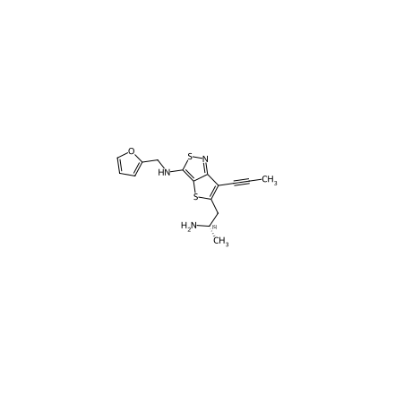 CC#Cc1c(C[C@H](C)N)sc2c(NCc3ccco3)snc12